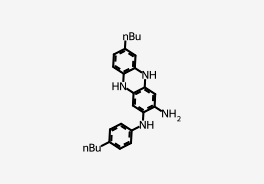 CCCCc1ccc(Nc2cc3c(cc2N)Nc2cc(CCCC)ccc2N3)cc1